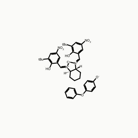 CC(C)(C)c1cc([N+](=O)[O-])cc(C=[N+]2[Cr][N+](=Cc3cc([N+](=O)[O-])cc(C(C)(C)C)c3O)[C@@H]3CCCC[C@H]32)c1O.[O-]c1ccc(Oc2ccccc2)cc1